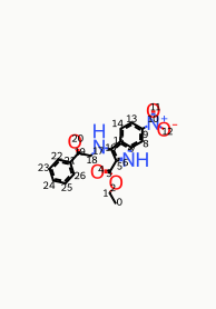 CCOC(=O)c1[nH]c2cc([N+](=O)[O-])ccc2c1NCC(=O)c1ccccc1